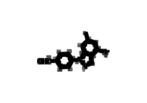 Cc1cc(Br)c2cnn(-c3ccc(C=O)cc3)c2c1